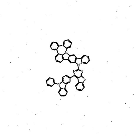 c1ccc(-n2c3ccccc3c3cc(-c4nc(-n5c6ccccc6c6cc7c(cc65)c5cccc6c5n7-c5ccccc5-c5ccccc5-6)nc5sc6ccccc6c45)ccc32)cc1